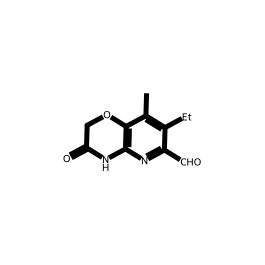 CCc1c(C=O)nc2c(c1C)OCC(=O)N2